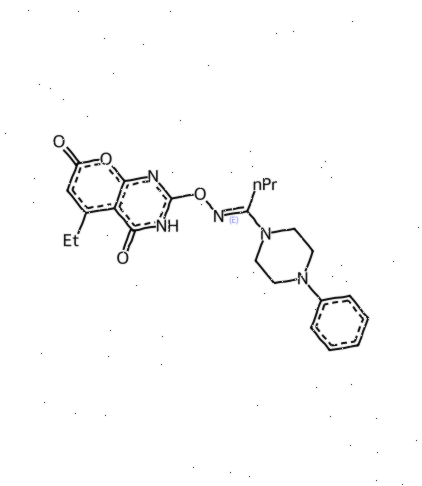 CCC/C(=N\Oc1nc2oc(=O)cc(CC)c2c(=O)[nH]1)N1CCN(c2ccccc2)CC1